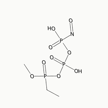 CCP(=O)(OC)OP(=O)(O)OP(=O)(O)N=O